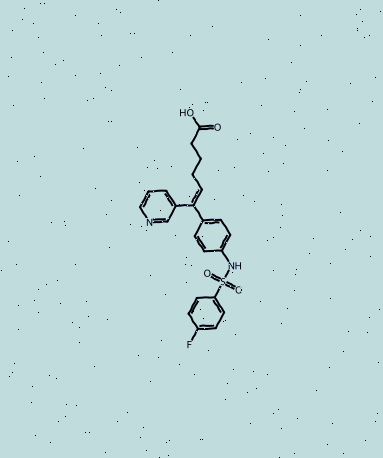 O=C(O)CCC/C=C(/c1ccc(NS(=O)(=O)c2ccc(F)cc2)cc1)c1cccnc1